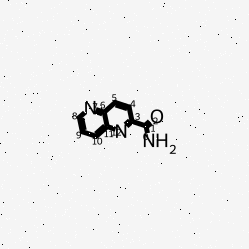 NC(=O)c1ccc2ncccc2n1